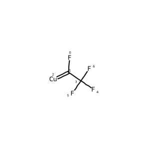 F[C](=[Cu])C(F)(F)F